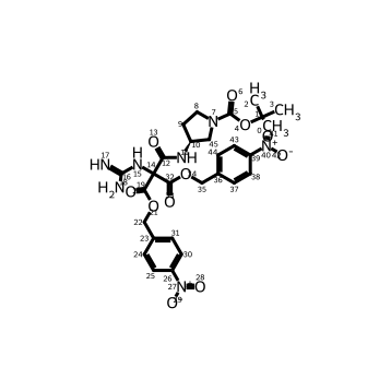 CC(C)(C)OC(=O)N1CC[C@H](NC(=O)C(NC(=N)N)(C(=O)OCc2ccc([N+](=O)[O-])cc2)C(=O)OCc2ccc([N+](=O)[O-])cc2)C1